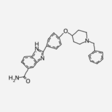 NC(=O)c1ccc2[nH]c(-c3ccc(OC4CCN(Cc5ccccc5)CC4)cc3)nc2c1